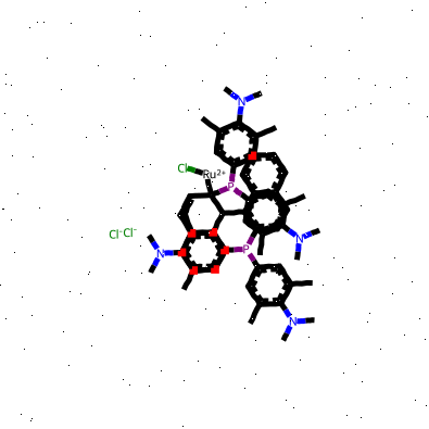 Cc1cc(P(c2cc(C)c(N(C)C)c(C)c2)c2ccc3ccccc3c2C2c3ccccc3C=C[C]2([Ru+2][Cl])P(c2cc(C)c(N(C)C)c(C)c2)c2cc(C)c(N(C)C)c(C)c2)cc(C)c1N(C)C.[Cl-].[Cl-]